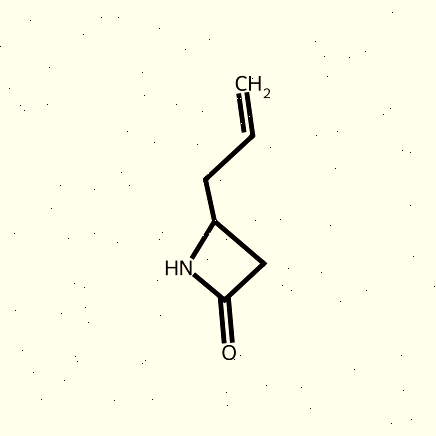 C=CCC1CC(=O)N1